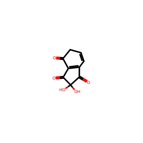 O=C1CC=CC2=C1C(=O)C(O)(O)C2=O